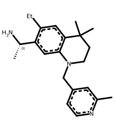 CCc1cc2c(cc1[C@H](C)N)N(Cc1ccnc(C)c1)CCC2(C)C